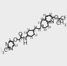 Cc1ncc(OCC(=O)NC2CCC(CCN3CCc4ccc(OC(C)C(F)(F)F)nc4CC3)CC2)cn1